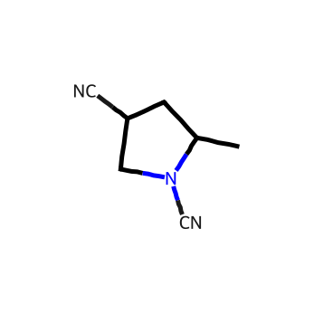 CC1CC(C#N)CN1C#N